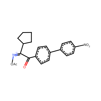 CC(=O)O/N=C(\C(=O)c1ccc(-c2ccc([N+](=O)[O-])cc2)cc1)C1CCCC1